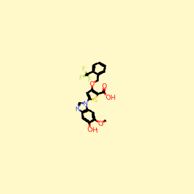 COc1cc2c(cc1O)ncn2-c1cc(OCc2ccccc2C(F)(F)F)c(C(=O)O)s1